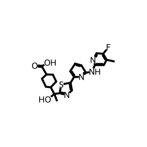 Cc1cc(Nc2cccc(-c3cnc(C(C)(O)C4CCC(C(=O)O)CC4)s3)n2)ncc1F